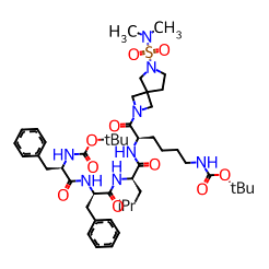 CC(C)C[C@@H](NC(=O)[C@@H](Cc1ccccc1)NC(=O)[C@@H](Cc1ccccc1)NC(=O)OC(C)(C)C)C(=O)N[C@H](CCCCNC(=O)OC(C)(C)C)C(=O)N1CC2(CCN(S(=O)(=O)N(C)C)C2)C1